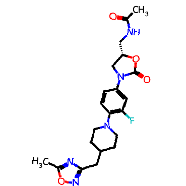 CC(=O)NC[C@H]1CN(c2ccc(N3CCC(Cc4noc(C)n4)CC3)c(F)c2)C(=O)O1